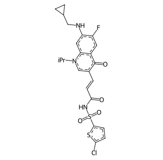 CC(C)n1cc(C=CC(=O)NS(=O)(=O)c2ccc(Cl)s2)c(=O)c2cc(F)c(NCC3CC3)cc21